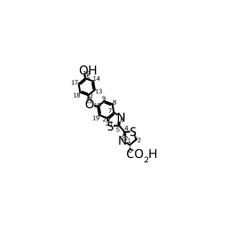 O=C(O)[C@H]1CSC(c2nc3ccc(Oc4ccc(O)cc4)cc3s2)=N1